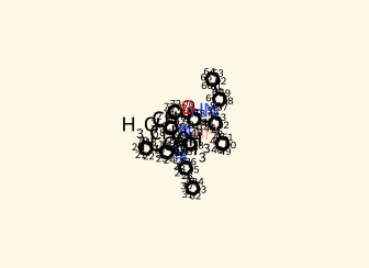 CC(C)(C)c1ccc(N2c3cc(N(c4ccc(-c5ccccc5)cc4)c4ccc(-c5ccccc5)cc4)ccc3Bc3c(-c4cc(-c5ccccc5)ccc4Nc4cccc(-c5ccccc5)c4)cc4oc5ccccc5c4c32)c(C(C)(C)C)c1